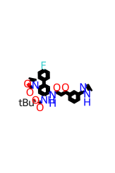 CC(C)(C)OC(=O)Nc1cc(N2CCOC2=O)c(-c2ccc(F)cc2)cc1NC(=O)CC(=O)c1cccc(-c2ncc[nH]2)c1